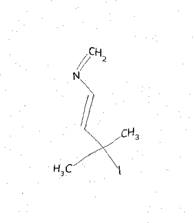 C=N/C=C/C(C)(C)I